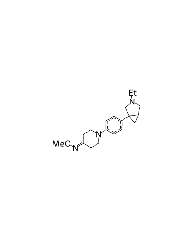 CCN1CC2CC2(c2ccc(N3CCC(=NOC)CC3)cc2)C1